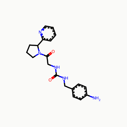 Nc1ccc(CNC(=O)NCC(=O)N2CCCC2c2ccccn2)cc1